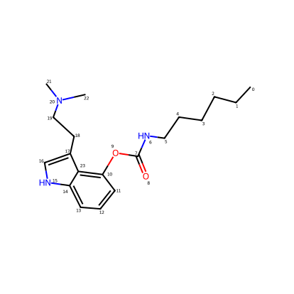 CCCCCCNC(=O)Oc1cccc2[nH]cc(CCN(C)C)c12